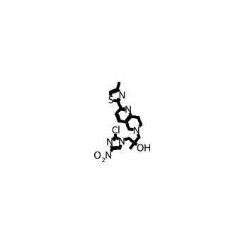 Cc1csc(-c2ccc3c(n2)CCN(CC(C)(O)Cn2cc([N+](=O)[O-])nc2Cl)C3)n1